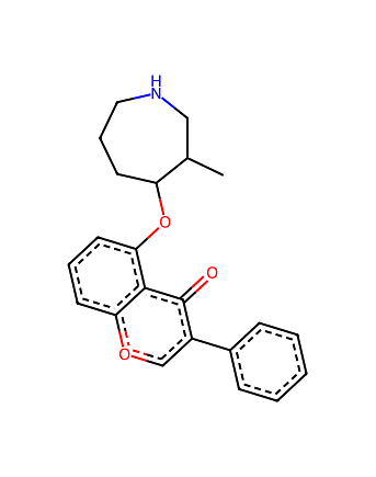 CC1CNCCCC1Oc1cccc2occ(-c3ccccc3)c(=O)c12